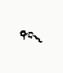 CCCCCN1CCN(c2ccccc2F)CC1